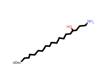 CCCCCCCCCCCCCCCCCCCCCCCCC(O)CCCN